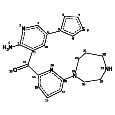 Nc1ncc(-c2ccsc2)cc1C(=O)c1cccc(N2CCCNCC2)n1